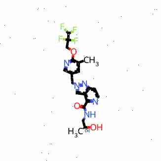 Cc1cc(Cn2cc3c(C(=O)NC[C@H](C)O)nccc3n2)cnc1OCC(F)(F)C(F)F